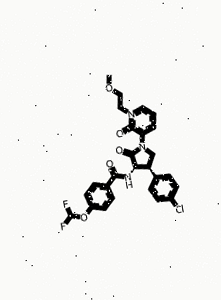 COCCn1cccc(N2C[C@@H](c3ccc(Cl)cc3)[C@H](NC(=O)c3ccc(OC(F)F)cc3)C2=O)c1=O